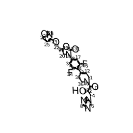 O=C([C@@H](O)Cn1cncn1)N1CC=C(c2c(F)cc(N3C[C@H](COc4ccon4)OC3=O)cc2F)CC1